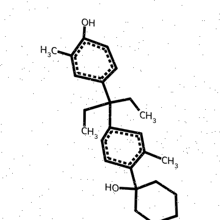 CCC(CC)(c1ccc(O)c(C)c1)c1ccc(C2(O)CCCCC2)c(C)c1